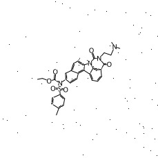 CCOC(=O)N(c1ccc2c(ccc3c2c2cccc4c(=O)n(CCN(C)C)c(=O)n3c42)c1)S(=O)(=O)c1ccc(C)cc1